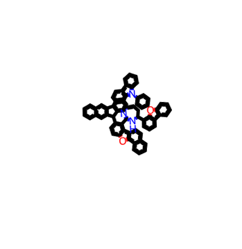 C1=C(c2cccc3c4ccccc4n(-c4ccccc4)c23)N=C(c2c(C3c4ccccc4-c4cc5ccccc5cc43)ccc3oc4c5ccccc5ccc4c23)NC(c2cccc3c2oc2ccccc23)C1